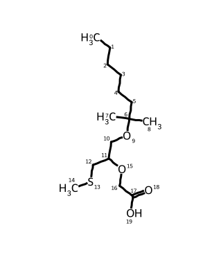 CCCCCCC(C)(C)OCC(CSC)OCC(=O)O